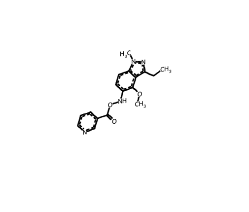 CCc1nn(C)c2ccc(NOC(=O)c3cccnc3)c(OC)c12